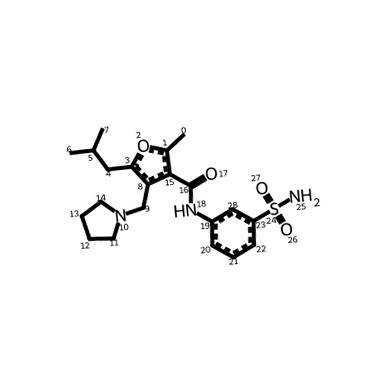 Cc1oc(CC(C)C)c(CN2CCCC2)c1C(=O)Nc1cccc(S(N)(=O)=O)c1